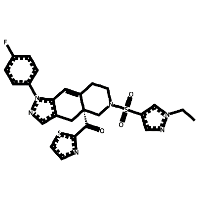 CCn1cc(S(=O)(=O)N2CCC3=Cc4c(cnn4-c4ccc(F)cc4)C[C@]3(C(=O)c3nccs3)C2)cn1